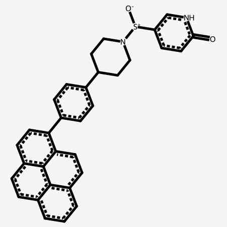 O=c1ccc([S+]([O-])N2CCC(c3ccc(-c4ccc5ccc6cccc7ccc4c5c67)cc3)CC2)c[nH]1